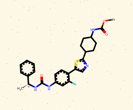 CC(C)OC(=O)NC1CCC(c2ncc(-c3ccc(NC(=O)N[C@H](C)c4ccccc4)cc3F)s2)CC1